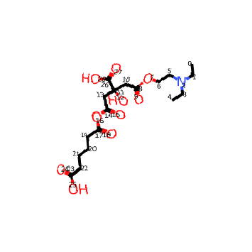 CCN(CC)CCOC(=O)CC(O)(CC(=O)OC(=O)CCCCC(=O)O)C(=O)O